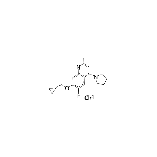 Cc1cc(N2CCCC2)c2cc(F)c(OCC3CC3)cc2n1.Cl